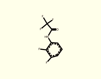 O=C(Nc1cccc(F)c1F)C(F)(F)F